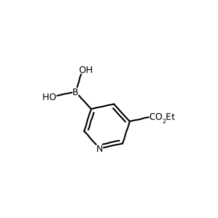 CCOC(=O)c1cncc(B(O)O)c1